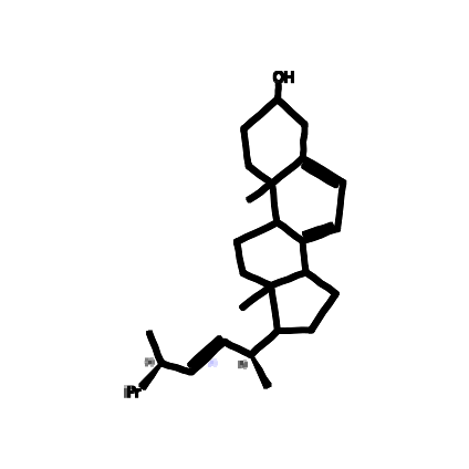 CC(C)[C@@H](C)/C=C/[C@H](C)C1CCC2C3=CC=C4CC(O)CCC4(C)C3CCC21C